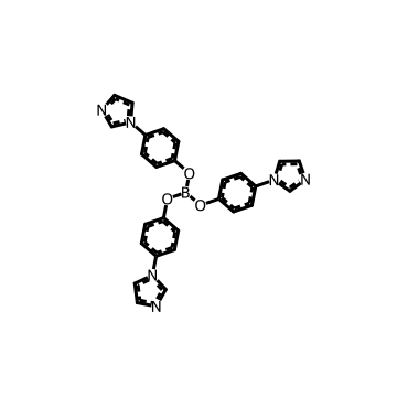 c1cn(-c2ccc(OB(Oc3ccc(-n4ccnc4)cc3)Oc3ccc(-n4ccnc4)cc3)cc2)cn1